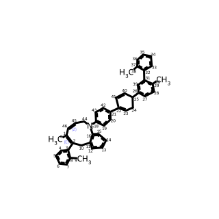 CC1=C(\c2ccccc2C)Cc2ccccc2N(c2ccc(C3=CCC(c4ccc(C)c(-c5ccccc5C)c4)C=C3)cc2)C/C=C\1